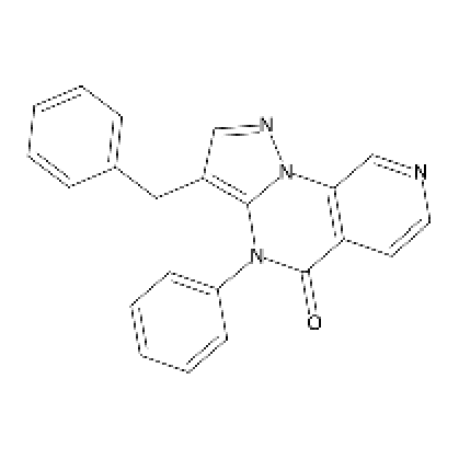 O=c1c2ccncc2n2ncc(Cc3ccccc3)c2n1-c1ccccc1